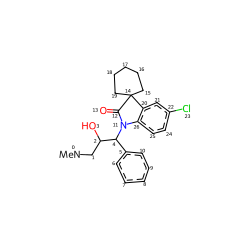 CNCC(O)C(c1ccccc1)N1C(=O)C2(CCCCC2)c2cc(Cl)ccc21